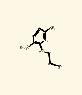 CCOC(=O)c1ccc(C(F)(F)F)nc1NCCC(C)(C)C